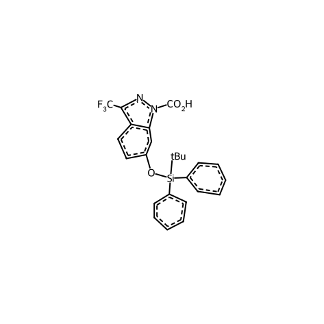 CC(C)(C)[Si](Oc1ccc2c(C(F)(F)F)nn(C(=O)O)c2c1)(c1ccccc1)c1ccccc1